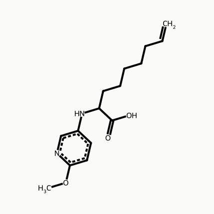 C=CCCCCCC(Nc1ccc(OC)nc1)C(=O)O